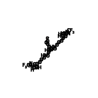 O=C(CCOCC(COCCC(=O)NCCOCCOCCOCCOC[C@H]1OC[C@H](Nc2cncc(C(F)(F)F)n2)[C@@H](O)[C@H]1O)NC(=O)COCCOCC(=O)OCc1ccccc1)NCCOCCOCCOCCOC[C@H]1OC[C@H](Nc2cncc(C(F)(F)F)n2)[C@@H](O)[C@H]1O